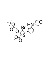 COC(=O)c1sc(-c2cccc(NC3CCOCC3)c2)c(Br)c1OCC(=O)OC(C)(C)C